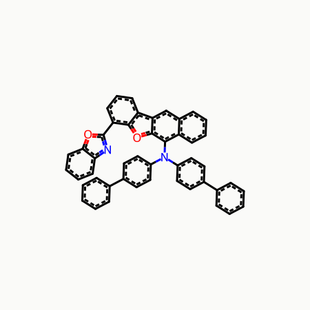 c1ccc(-c2ccc(N(c3ccc(-c4ccccc4)cc3)c3c4ccccc4cc4c3oc3c(-c5nc6ccccc6o5)cccc34)cc2)cc1